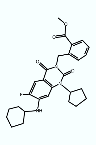 COC(=O)c1ccccc1Cn1c(=O)c2cc(F)c(NC3CCCCC3)cc2n(C2CCCC2)c1=O